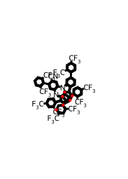 N#Cc1cc(-n2c3cc(-c4ccc(C(F)(F)F)cc4C(F)(F)F)ccc3c3ccc(-c4ccc(C(F)(F)F)cc4C(F)(F)F)cc32)c(-n2c3cc(-c4ccc(C(F)(F)F)cc4C(F)(F)F)ccc3c3c(C(F)(F)F)cc(C(F)(F)F)cc32)cc1-c1c(C(F)(F)F)cccc1C(F)(F)F